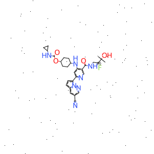 CC(C)(O)[C@H](F)CNC(=O)c1cnc(-c2ccc3cc(C#N)cnn23)cc1NC1CCC(OC(=O)NC2CC2)CC1